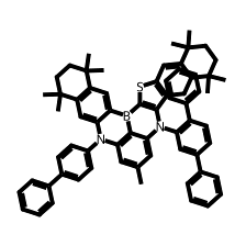 Cc1cc2c3c(c1)N(c1cc(-c4ccccc4)ccc1-c1ccccc1)c1c(sc4c1CC1C(=C4)C(C)(C)CCC1(C)C)B3c1cc3c(cc1N2c1ccc(-c2ccccc2)cc1)C(C)(C)CCC3(C)C